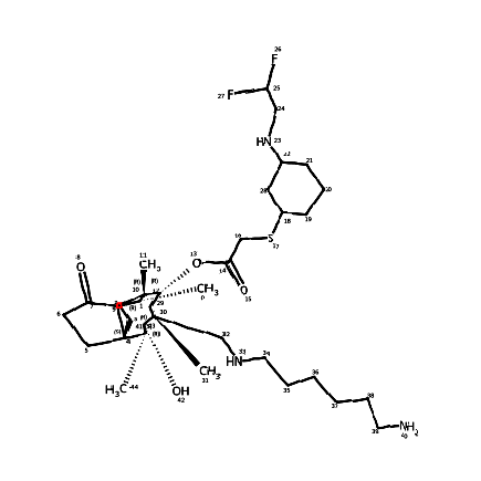 C[C@@H]1CC[C@@]23CCC(=O)C2[C@]1(C)[C@H](OC(=O)CSC1CCCC(NCC(F)F)C1)C[C@](C)(CNCCCCCCN)[C@@H](O)[C@@H]3C